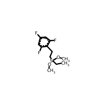 CC[Si](CCc1c(F)cc(F)cc1F)(OC)OC